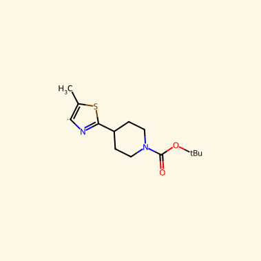 Cc1[c]nc(C2CCN(C(=O)OC(C)(C)C)CC2)s1